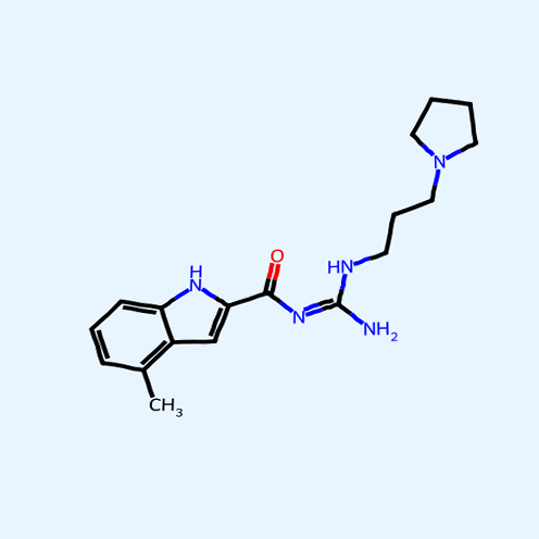 Cc1cccc2[nH]c(C(=O)N=C(N)NCCCN3CCCC3)cc12